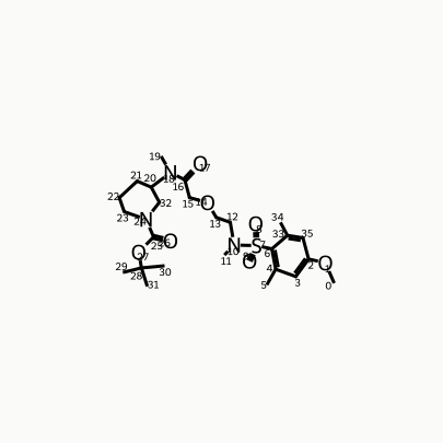 COc1cc(C)c(S(=O)(=O)N(C)CCOCC(=O)N(C)C2CCCN(C(=O)OC(C)(C)C)C2)c(C)c1